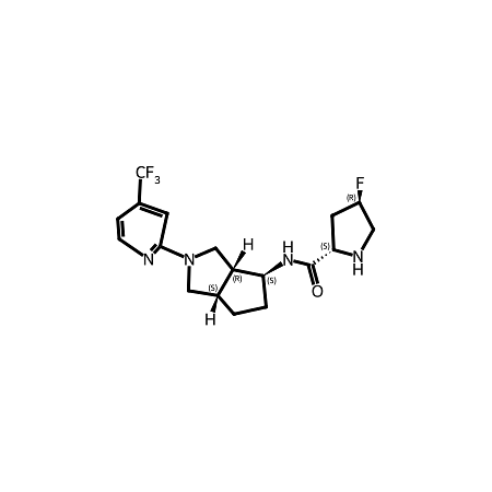 O=C(N[C@H]1CC[C@@H]2CN(c3cc(C(F)(F)F)ccn3)C[C@@H]21)[C@@H]1C[C@@H](F)CN1